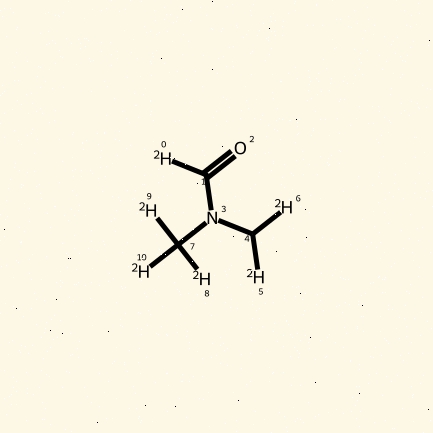 [2H]C(=O)N(C([2H])[2H])C([2H])([2H])[2H]